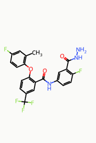 Cc1cc(F)ccc1Oc1ccc(C(F)(F)F)cc1C(=O)Nc1ccc(F)c(C(=O)NN)c1